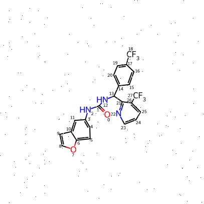 O=C(Nc1ccc2occc2c1)NC(c1ccc(C(F)(F)F)cc1)c1ncccc1C(F)(F)F